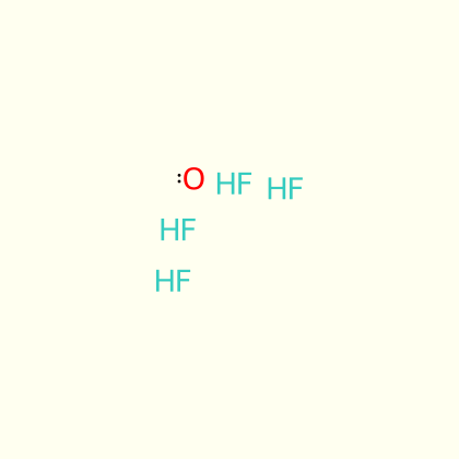 F.F.F.F.[O]